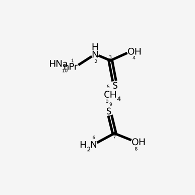 C.CCCNC(O)=S.NC(O)=S.[NaH]